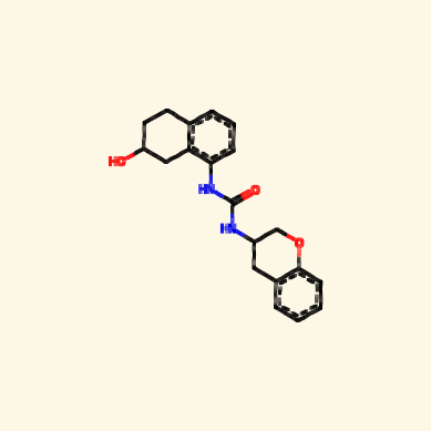 O=C(Nc1cccc2c1CC(O)CC2)NC1COc2ccccc2C1